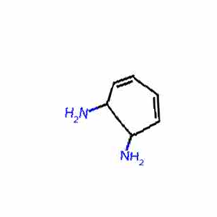 NC1C=CC=CC1N